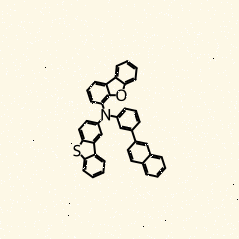 c1cc(-c2ccc3ccccc3c2)cc(N(c2ccc3sc4ccccc4c3c2)c2cccc3c2oc2ccccc23)c1